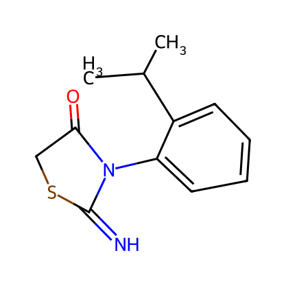 CC(C)c1ccccc1N1C(=N)SCC1=O